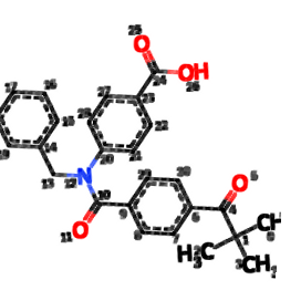 CC(C)(C)C(=O)c1ccc(C(=O)N(Cc2ccccc2)c2ccc(C(=O)O)cc2)cc1